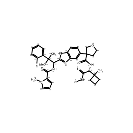 CCNC(=O)[C@H](NC(=O)C1(c2ccc3[nH]c(C(NC(=O)c4ccnn4C)C(C)(OC)c4ccccc4Cl)nc3c2)CCOC1)C1(C)CCC1